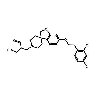 O=CC(CO)CN1CCC2(CC1)COc1cc(OCCc3ccc(Cl)cc3Cl)ccc12